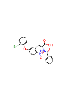 O=C(O)C(=Cc1cc(Oc2ccccc2Br)ccc1[N+](=O)[O-])NC(=O)c1ccccc1